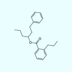 CCCc1ccccc1C(=O)OC(CCC)CCc1ccccc1